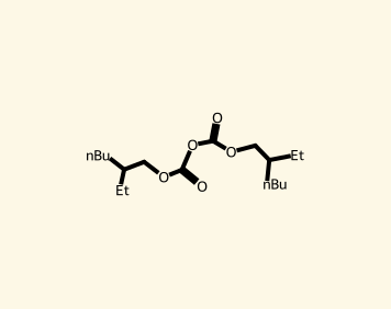 CCCCC(CC)COC(=O)OC(=O)OCC(CC)CCCC